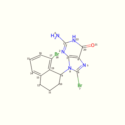 Nc1nc2c(nc(Br)n2C2CCCc3cccc(Br)c32)c(=O)[nH]1